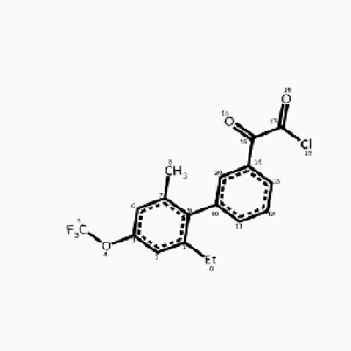 CCc1cc(OC(F)(F)F)cc(C)c1-c1cccc(C(=O)C(=O)Cl)c1